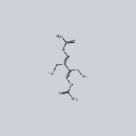 CCC(=N\OC(C)=O)/C(CC)=N/OC(C)=O